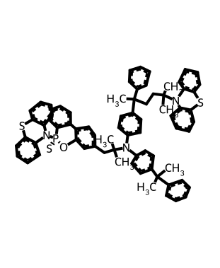 CC(C)(c1ccccc1)c1ccc(N(c2ccc(C(C)(CCC(C)(C)N3c4ccccc4Sc4ccccc43)c3ccccc3)cc2)C(C)(C)Cc2ccc3c(c2)OP(=S)(N2c4ccccc4Sc4ccccc42)c2ccccc2-3)cc1